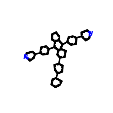 c1ccc(-c2ccc(-c3ccc4c(-c5ccc(-c6ccncc6)cc5)c5ccccc5c(-c5ccc(-c6ccncc6)cc5)c4c3)cc2)cc1